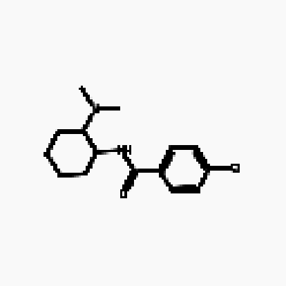 CN(C)C1CCCCC1NC(=O)c1ccc(Cl)cc1